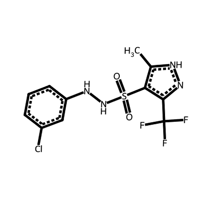 Cc1[nH]nc(C(F)(F)F)c1S(=O)(=O)NNc1cccc(Cl)c1